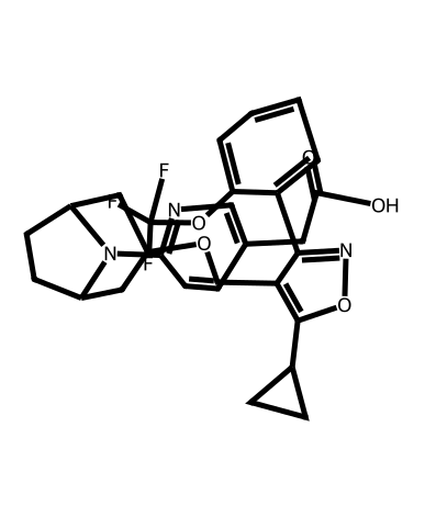 O=C(O)Cc1ccc(N2C3CCC2CC(OCc2c(-c4ccccc4OC(F)(F)F)noc2C2CC2)C3)nc1